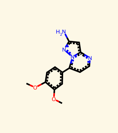 COc1ccc(-c2ccnc3cc(N)nn23)cc1OC